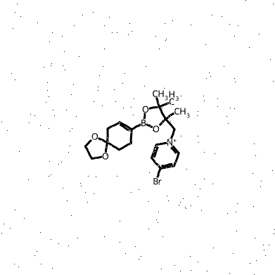 CC1(C)OB(C2=CCC3(CC2)OCCO3)OC1(C)C[n+]1ccc(Br)cc1